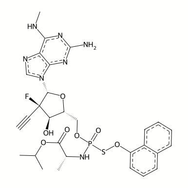 C#C[C@@]1(F)[C@H](O)[C@@H](COP(=O)(N[C@H](C)C(=O)OC(C)C)SOc2cccc3ccccc23)O[C@H]1n1cnc2c(NC)nc(N)nc21